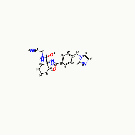 N#CCNC(=O)C1(NC(=O)c2ccc(Cn3ccnc3)cc2)CCCCC1